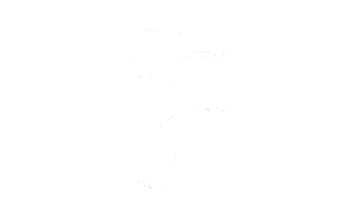 CCCC(O)C1CCCCC1=O